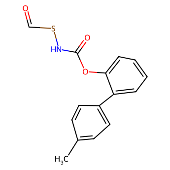 Cc1ccc(-c2ccccc2OC(=O)NSC=O)cc1